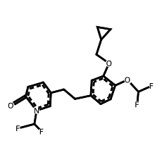 O=c1ccc(CCc2ccc(OC(F)F)c(OCC3CC3)c2)cn1C(F)F